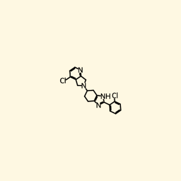 Clc1ccccc1-c1nc2c([nH]1)CC(N1Cc3nccc(Cl)c3C1)CC2